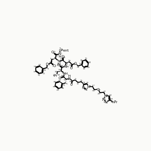 CCCCCNC(=O)[C@H](CC(=O)OCc1ccccc1)NC(=O)[C@@H](CC(=O)OCc1ccccc1)NC(=O)[C@H](CC(C)C)NC(=O)[C@@H](Cc1ccccc1)NC(=O)CCCc1cn(CCOCCn2cc(CCC)nn2)nn1